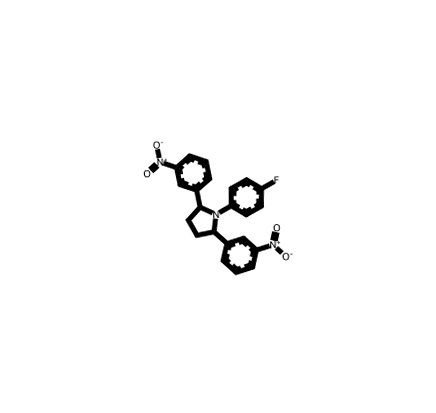 O=[N+]([O-])c1cccc(C2CCC(c3cccc([N+](=O)[O-])c3)N2c2ccc(F)cc2)c1